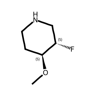 CO[C@H]1CCNC[C@@H]1F